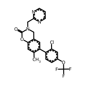 Cc1cc2c(cc1-c1ccc(OC(F)(F)F)cc1Cl)CN(Cc1ncccn1)C(=O)O2